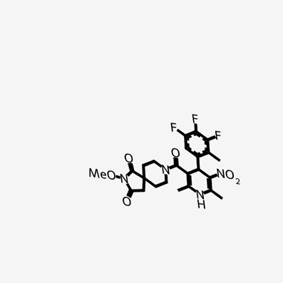 CON1C(=O)CC2(CCN(C(=O)C3=C(C)NC(C)=C([N+](=O)[O-])C3c3cc(F)c(F)c(F)c3C)CC2)C1=O